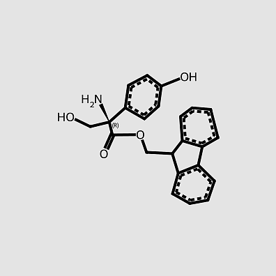 N[C@](CO)(C(=O)OCC1c2ccccc2-c2ccccc21)c1ccc(O)cc1